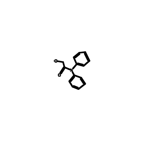 [O]CC(=O)N(c1ccccc1)c1ccccc1